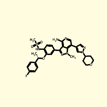 C[C@H](Oc1cc(-c2nn(C)c3c(-c4cnn(C5CCOCC5)c4)cnc(N)c23)ccc1NS(C)(=O)=O)c1ccc(F)cc1